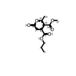 CCCOC(=O)c1cc(=O)oc(C)c1C(=O)OC